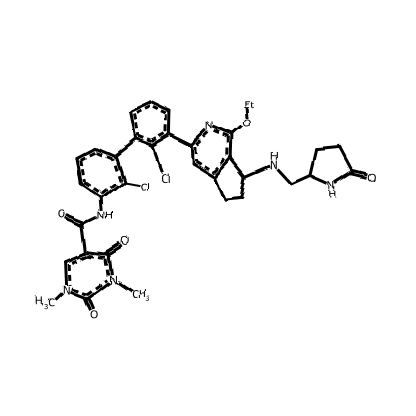 CCOc1nc(-c2cccc(-c3cccc(NC(=O)c4cn(C)c(=O)n(C)c4=O)c3Cl)c2Cl)cc2c1C(NCC1CCC(=O)N1)CC2